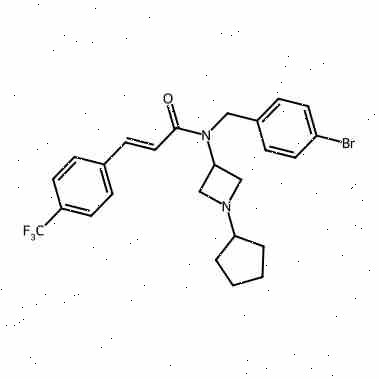 O=C(/C=C/c1ccc(C(F)(F)F)cc1)N(Cc1ccc(Br)cc1)C1CN(C2CCCC2)C1